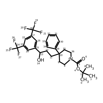 CC(C)(C)OC(=O)N1CCC(CCC(O)c2cc(C(F)(F)F)cc(C(F)(F)F)c2)(c2ccccc2)CC1